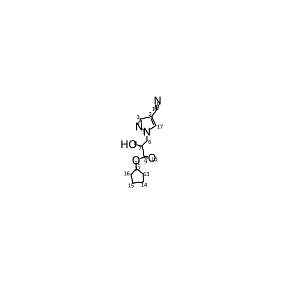 N#Cc1cnn(CC(O)C(=O)OC2CCCC2)c1